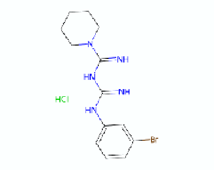 Cl.N=C(NC(=N)N1CCCCC1)Nc1cccc(Br)c1